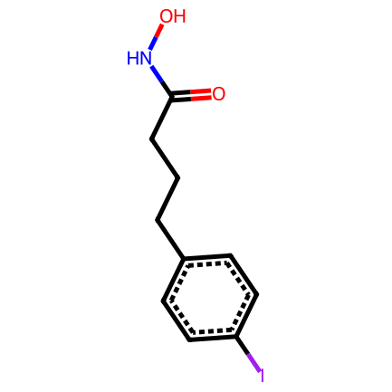 O=C(CCCc1ccc(I)cc1)NO